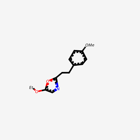 CCOc1cnc(CCc2ccc(OC)cc2)o1